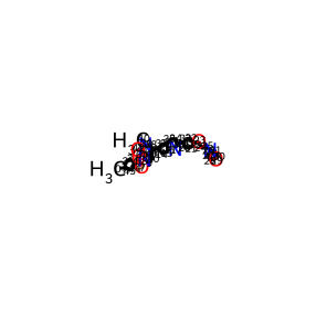 Cc1ccc(S(=O)(=O)n2ccc3c(-c4ccc5nc(-c6ccc(OCCN7CCOCC7)cc6)ccc5c4)cn(C)c(=O)c32)cc1